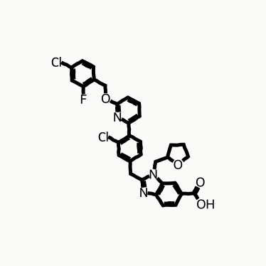 O=C(O)c1ccc2nc(Cc3ccc(-c4cccc(OCc5ccc(Cl)cc5F)n4)c(Cl)c3)n(CC3CCCO3)c2c1